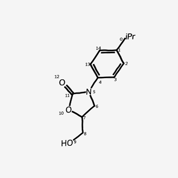 CC(C)c1ccc(N2CC(CO)OC2=O)cc1